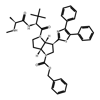 CN[C@@H](C)C(=O)N[C@H](C(=O)N1CC[C@@H]2[C@H]1[C@@H](c1nc(-c3ccccc3)c(-c3ccccc3)s1)CN2C(=O)OCc1ccccc1)C(C)(C)C